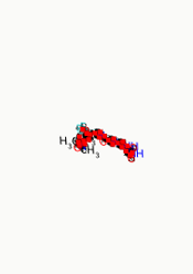 Cc1c(-c2ccc(CC3CCN(CC(=O)C4CCN(c5ccc(NC6CCC(=O)NC6=O)cc5)CC4)CC3)c(OC(F)(F)F)c2)cn(C)c(=O)c1C